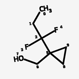 CCC(F)(F)C1(CO)CC1